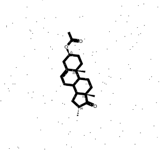 CC(=O)O[C@H]1CC[C@@]2(C)C(=CCC3C2CC[C@]2(C)C(=O)[C@H](C)CC32)C1